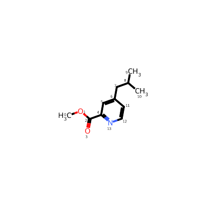 COC(=O)c1cc(CC(C)C)ccn1